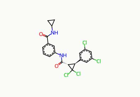 O=C(NC1CC1)c1cccc(NC(=O)[C@@H]2[C@@H](c3cc(Cl)cc(Cl)c3)C2(Cl)Cl)c1